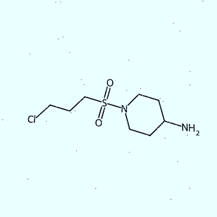 NC1CCN(S(=O)(=O)CCCCl)CC1